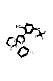 Cl.Oc1ccc(OC(F)(F)F)cc1[C@H]1CO[C@]2(CCCN[C@H]2c2ccccc2)C1